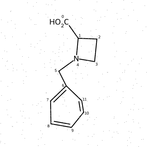 O=C(O)C1CCN1Cc1ccccc1